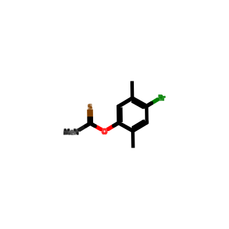 CNC(=S)Oc1cc(C)c(Br)cc1C